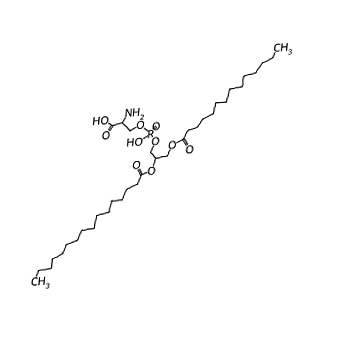 CCCCCCCCCCCCCCCC(=O)OC(COC(=O)CCCCCCCCCCCCC)COP(=O)(O)OCC(N)C(=O)O